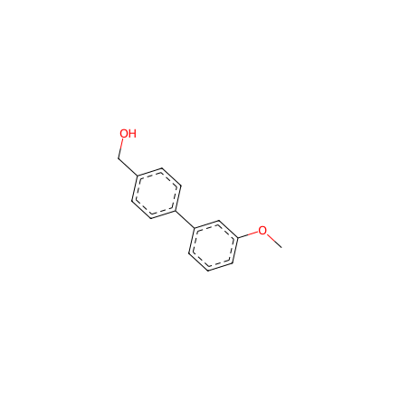 COc1cccc(-c2ccc(CO)cc2)c1